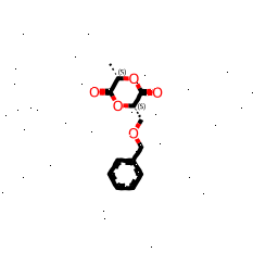 C[C@@H]1OC(=O)[C@H](COCc2ccccc2)OC1=O